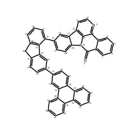 O=c1c2ccccc2c2nccc3c4cc(-c5cccc6c5-c5cc(-c7ccc8c9ccccc9c9ccccc9c8c7)ccc5C6)ccc4n1c32